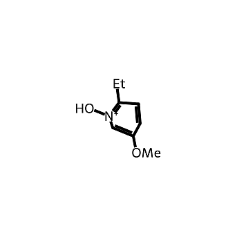 CCc1ccc(OC)c[n+]1O